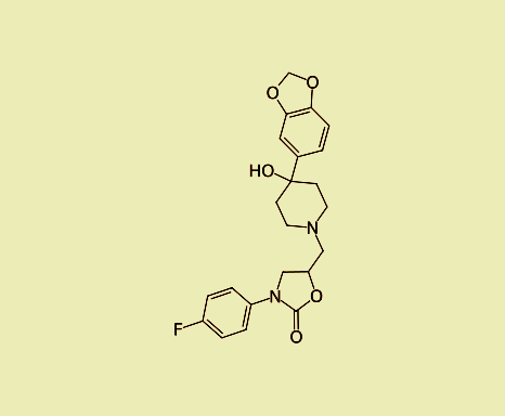 O=C1OC(CN2CCC(O)(c3ccc4c(c3)OCO4)CC2)CN1c1ccc(F)cc1